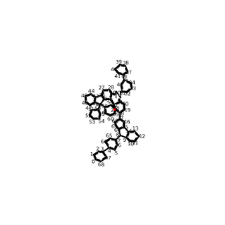 c1ccc(-c2ccc(C3c4ccccc4-c4cc(-c5ccc6c(c5)c5c7c(ccc5n6-c5cccc(-c6ccccc6)c5)-c5ccccc5C7(c5ccccc5)c5ccccc5)ccc43)cc2)cc1